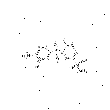 Cc1ccc(S(N)(=O)=O)cc1S(=O)(=O)c1ccc(N)c(Br)c1